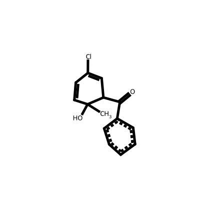 CC1(O)C=CC(Cl)=CC1C(=O)c1ccccc1